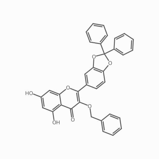 O=c1c(OCc2ccccc2)c(-c2ccc3c(c2)OC(c2ccccc2)(c2ccccc2)O3)oc2cc(O)cc(O)c12